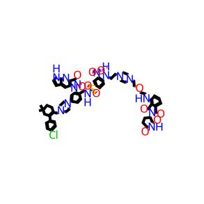 Cn1c(=O)c2nc3[nH]ccc3cc2n1-c1cc(N2CCN(CC3=C(c4ccc(Cl)cc4)CC(C)(C)CC3)CC2)ccc1C(=O)NS(=O)(=O)c1ccc(NCCN2CCN(CCOCCNc3cccc4c3C(=O)N(C3CCC(=O)NC3=O)C4=O)CC2)c([N+](=O)[O-])c1